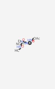 C#CCNC(=O)C(C#N)=c1sc(=CNc2cccc(NC(=O)COC(C)=O)c2)c(=O)n1CC